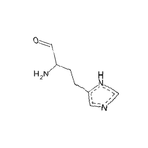 NC(C=O)CCc1cnc[nH]1